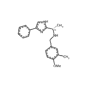 COc1ccc(CN[C@@H](C)c2nc(-c3ccccc3)c[nH]2)cc1C